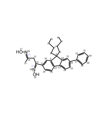 CCCCC1(CCCC)c2cc(/C(C/C(C)=N/O)=N\O)ccc2-c2ccc(-c3ccccc3)cc21